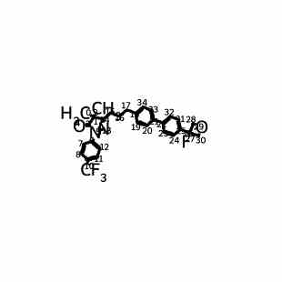 CC1(C)C(=O)N(c2ccc(C(F)(F)F)cc2)N=C1CCCc1ccc(-c2ccc(C3(F)COC3)cc2)cc1